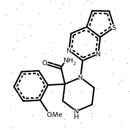 COc1ccccc1C1(C(N)=O)CNCCN1c1ncc2ccsc2n1